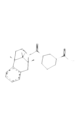 COC(=O)[C@H]1CCC[C@@H](C(=O)N2CC[C@@]3(C)c4ccccc4C[C@@H]2C3(C)C)C1